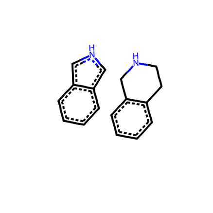 c1ccc2c(c1)CCNC2.c1ccc2c[nH]cc2c1